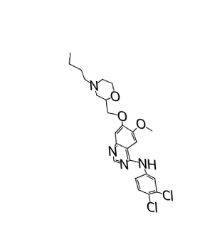 CCCCN1CCOC(COc2cc3ncnc(Nc4ccc(Cl)c(Cl)c4)c3cc2OC)C1